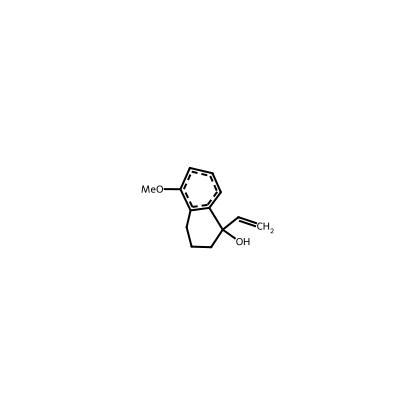 C=CC1(O)CCCc2c(OC)cccc21